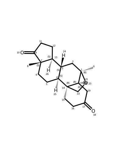 C[C@@]12C[C@@H]3[C@H](CC[C@]4(C)C(=O)CC[C@@H]34)[C@]3(CCC(=O)C[C@@]31Br)CO2